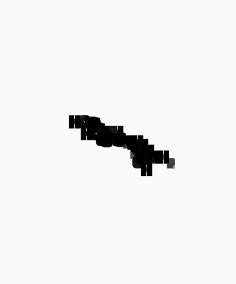 Nc1nc2ncc(CNc3ccc(C(=O)N[C@@H](Cc4ccc(O)cc4)C(=O)O)cc3)nc2c(=O)[nH]1